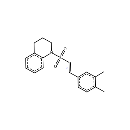 Cc1ccc(/C=C/S(=O)(=O)N2CCCc3ccccc32)cc1C